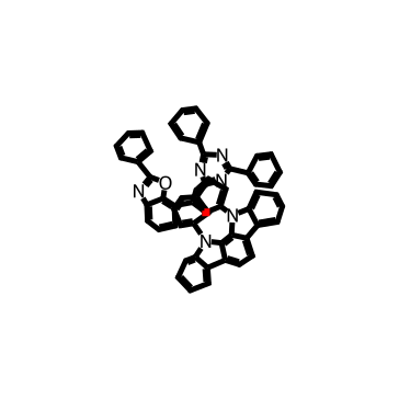 c1ccc(-c2nc(-c3ccccc3)nc(-c3cccc(-n4c5ccccc5c5ccc6c7ccccc7n(-c7cccc(-c8cccc9nc(-c%10ccccc%10)oc89)c7)c6c54)c3)n2)cc1